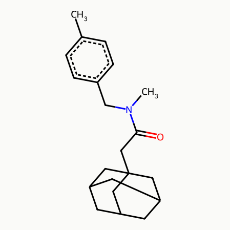 Cc1ccc(CN(C)C(=O)CC23CC4CC(CC(C4)C2)C3)cc1